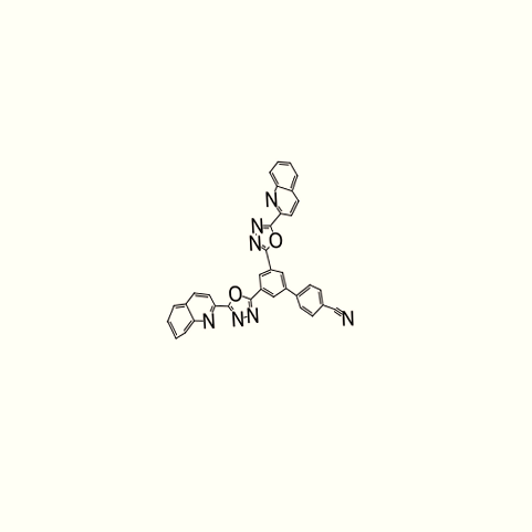 N#Cc1ccc(-c2cc(-c3nnc(-c4ccc5ccccc5n4)o3)cc(-c3nnc(-c4ccc5ccccc5n4)o3)c2)cc1